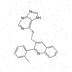 Cc1ccccc1-c1nc2ccccc2cc1CSc1ncnc2nc[nH]c12